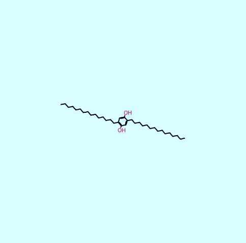 CCCCCCCCCCCCCCCc1cc(O)c(CCCCCCCCCCCCCCC)cc1O